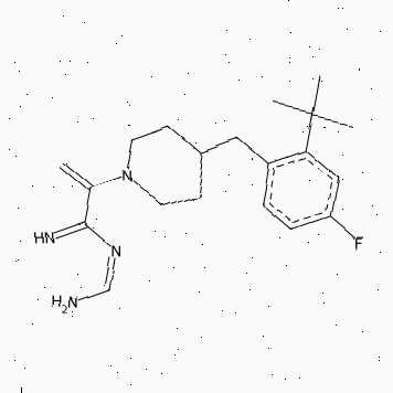 C=C(C(=N)/N=C\N)N1CCC(Cc2ccc(F)cc2C(C)(C)C)CC1